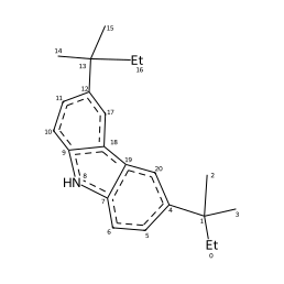 CCC(C)(C)c1ccc2[nH]c3ccc(C(C)(C)CC)cc3c2c1